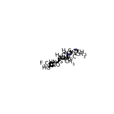 C=C(C)N(/C=C\C)C(=C)/C=C(\N=C/C)C(=O)N[C@H](C)c1ncc(C(=O)Nc2cc(C(F)(F)F)c(O)cn2)s1